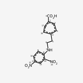 O=C(O)c1ccc(CCNc2ccc([N+](=O)[O-])cc2[N+](=O)[O-])cc1